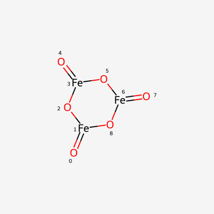 [O]=[Fe]1[O][Fe](=[O])[O][Fe](=[O])[O]1